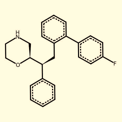 Fc1ccc(-c2ccccc2C[C@@H](c2ccccc2)[C@@H]2CNCCO2)cc1